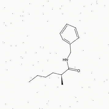 CCCC[C@H](C)C(=O)NCc1ccccc1